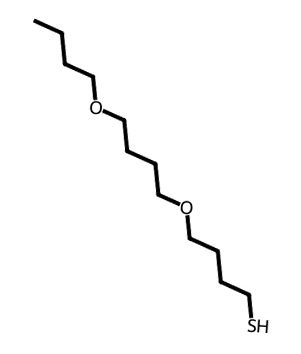 CCCCOCCCCOCCCCS